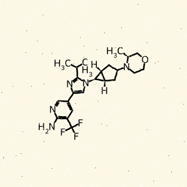 CC(C)c1nc(-c2cnc(N)c(C(F)(F)F)c2)cn1[C@H]1[C@@H]2CC(N3CCOC[C@@H]3C)C[C@@H]21